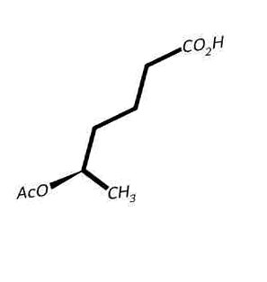 CC(=O)O[C@H](C)CCCC(=O)O